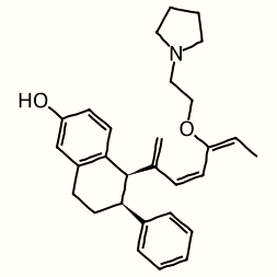 C=C(/C=C\C(=C/C)OCCN1CCCC1)[C@@H]1c2ccc(O)cc2CC[C@@H]1c1ccccc1